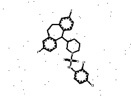 O=S(=O)(Nc1ccc(Cl)cc1Cl)N1CCCC(C2c3ccc(F)cc3CCc3cc(F)ccc32)C1